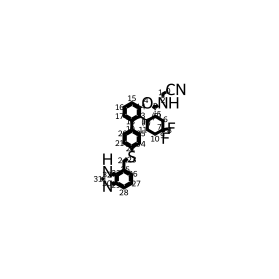 N#CCNC(=O)[C@@H]1CC(F)(F)CC[C@H]1c1ccccc1-c1ccc(SCc2cccc3nc[nH]c23)cc1